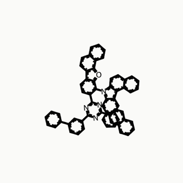 c1ccc(-c2cccc(-c3nc(-c4ccc5ccccc5c4)nc(-c4ccc5c(oc6c7ccccc7ccc56)c4-n4c5cc6ccccc6cc5c5c6ccccc6ccc54)n3)c2)cc1